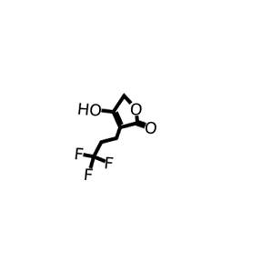 O=C1OCC(O)=C1CCC(F)(F)F